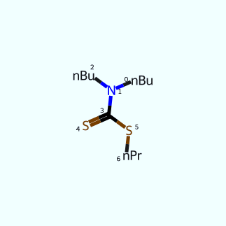 CCCCN(CCCC)C(=S)SCCC